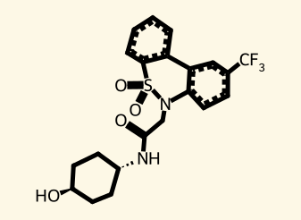 O=C(CN1c2ccc(C(F)(F)F)cc2-c2ccccc2S1(=O)=O)N[C@H]1CC[C@H](O)CC1